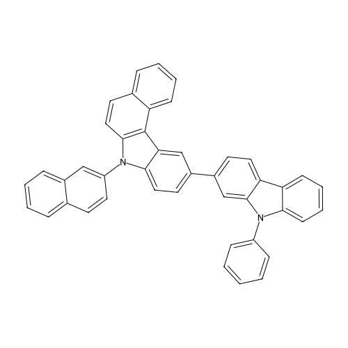 c1ccc(-n2c3ccccc3c3ccc(-c4ccc5c(c4)c4c6ccccc6ccc4n5-c4ccc5ccccc5c4)cc32)cc1